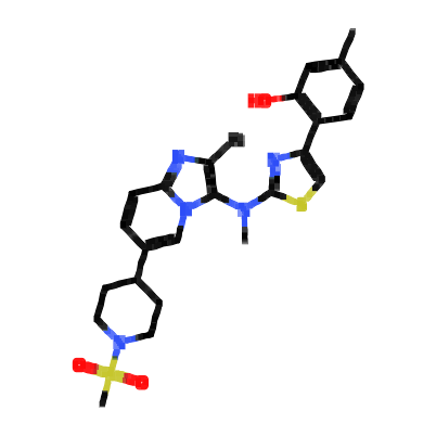 CCc1nc2ccc(C3CCN(S(C)(=O)=O)CC3)cn2c1N(C)c1nc(-c2ccc(C)cc2O)cs1